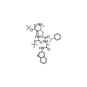 CC(C)(C)OC(=O)NC(CN)C[C@H](NC(=O)OC(C)(C)C)C(=O)N[C@H](CCc1ccccc1)C(=O)Nc1cnc2ccccc2c1